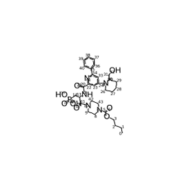 CCCCOC(=O)N1CCN(C(=O)C(CP(=O)(O)O)NC(=O)c2cc(N3CCCC[C@@H]3CO)cc(-c3ccccc3)n2)CC1